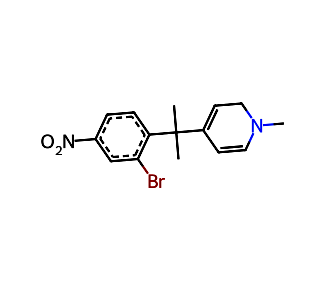 CN1C=CC(C(C)(C)c2ccc([N+](=O)[O-])cc2Br)=CC1